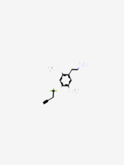 C#CCC(F)(F)Sc1cc(OC)c(CCN)cc1OC